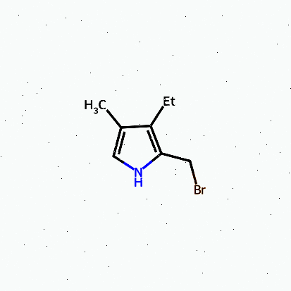 CCc1c(C)c[nH]c1CBr